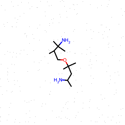 CC(N)CC(C)(C)OCC(C)C(C)(C)N